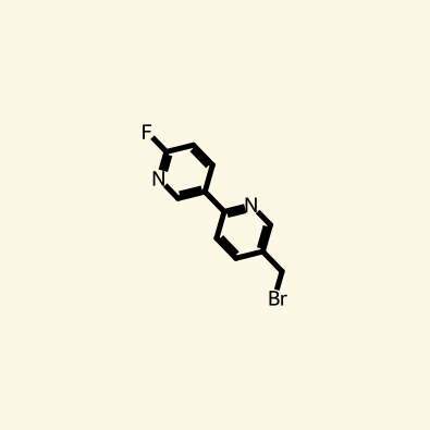 Fc1ccc(-c2ccc(CBr)cn2)cn1